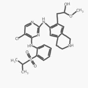 COC(O)Cc1cc2c(cc1Nc1ncc(Cl)c(Nc3ccccc3S(=O)(=O)C(C)C)n1)CCNC2